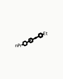 CCCC1CCC(C23CCC(C#Cc4ccc(CC)cc4)(CC2)CC3)CC1